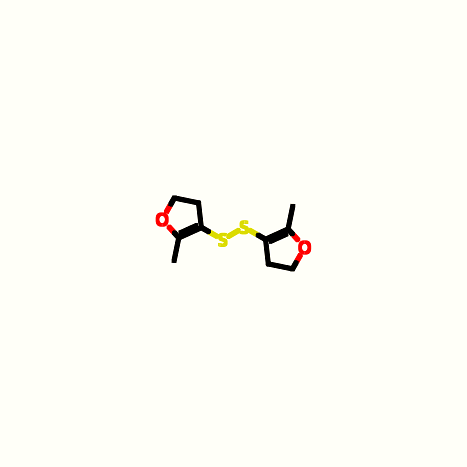 CC1=C(SSC2=C(C)OCC2)CCO1